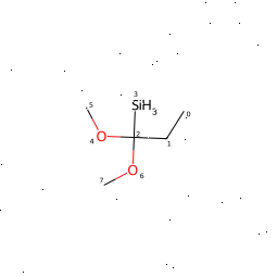 CCC([SiH3])(OC)OC